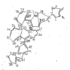 C1=C(c2ccccc2)Cc2c1ccc1c2Cc2cccc(-c3c4ccccc4c(-c4ccc5c(c4)-c4ccccc4C5)c4ccccc34)c2-1